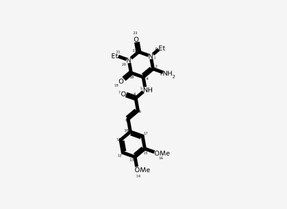 CCn1c(N)c(NC(=O)/C=C/c2ccc(OC)c(OC)c2)c(=O)n(CC)c1=O